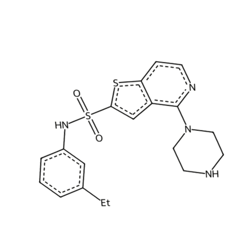 CCc1cccc(NS(=O)(=O)c2cc3c(N4CCNCC4)nccc3s2)c1